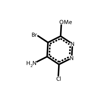 COc1nnc(Cl)c(N)c1Br